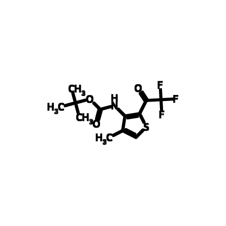 Cc1csc(C(=O)C(F)(F)F)c1NC(=O)OC(C)(C)C